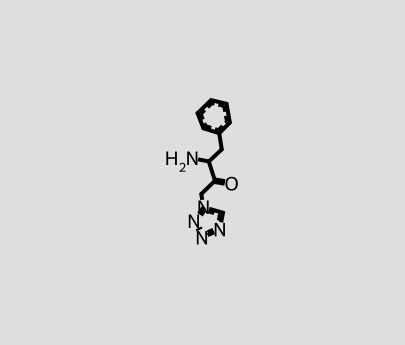 NC(Cc1ccccc1)C(=O)Cn1cnnn1